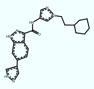 O=C(Nc1cnn(CCC2CCCCC2)c1)c1n[nH]c2cc(-c3cn[nH]c3)ccc12